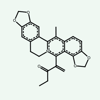 C=C(C(=O)CC)c1c2c3c(ccc2c(C)c2[n+]1CCc1cc4c(cc1-2)OCO4)OCO3